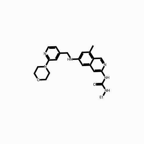 CCNC(=O)Nc1cc2cc(NCc3ccnc(N4CCOCC4)c3)cc(C)c2cn1